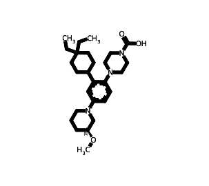 CCC1(CC)CCC(c2cc(N3CCC[C@H](OC)C3)ccc2N2CCN(C(=O)O)CC2)CC1